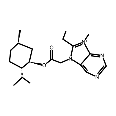 CCc1n(CC(=O)O[C@@H]2C[C@H](C)CC[C@H]2C(C)C)c2cncnc2[n+]1C